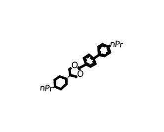 CCCc1ccc(-c2ccc(C3OCC([C@H]4CC[C@H](CCC)CC4)CO3)cc2)cc1